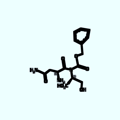 NC(=O)C[C@H](N)C(=O)N(C(=O)OCc1ccccc1)[C@@H](CO)C(=O)O